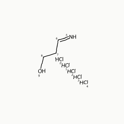 Cl.Cl.Cl.Cl.Cl.N=CCCO